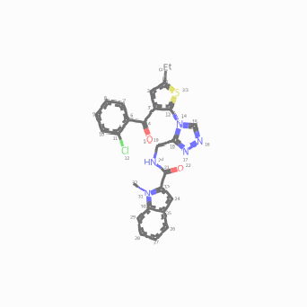 CCc1cc(C(=O)c2ccccc2Cl)c(-n2cnnc2CNC(=O)c2cc3ccccc3n2C)s1